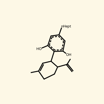 C=C(C)C1CCC(C)=CC1c1c(O)cc(CCCCCCC)cc1O